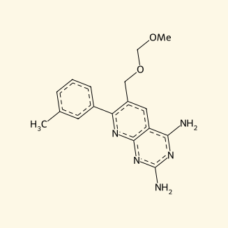 COCOCc1cc2c(N)nc(N)nc2nc1-c1cccc(C)c1